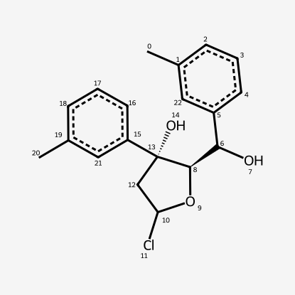 Cc1cccc(C(O)[C@H]2OC(Cl)C[C@@]2(O)c2cccc(C)c2)c1